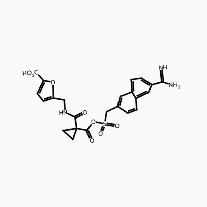 N=C(N)c1ccc2cc(CS(=O)(=O)OC(=O)C3(C(=O)NCc4ccc(C(=O)O)o4)CC3)ccc2c1